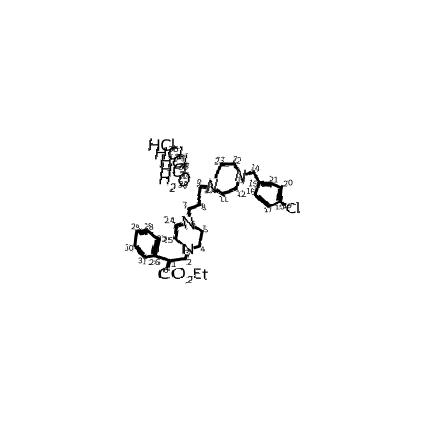 CCOC(=O)C(CN1CCN(CCCN2CCN(Cc3ccc(Cl)cc3)CC2)CC1)c1ccccc1.Cl.Cl.Cl.Cl.O